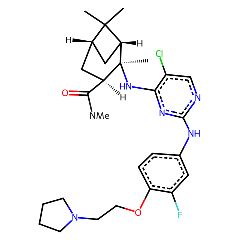 CNC(=O)[C@H]1C[C@H]2C[C@H](C2(C)C)[C@@]1(C)Nc1nc(Nc2ccc(OCCN3CCCC3)c(F)c2)ncc1Cl